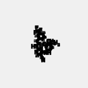 C[C@H]1CC[C@@H](Nc2nc(NCCc3cccc(C(F)(F)F)c3)ncc2C#N)CC1(C)C